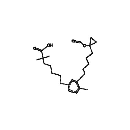 Cc1ccc(CCCCCC(C)(C)C(=O)O)cc1CCCCCC1(OC=O)CC1